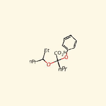 CCCC(CC)OC(CCC)(Oc1ccccc1)C(=O)O